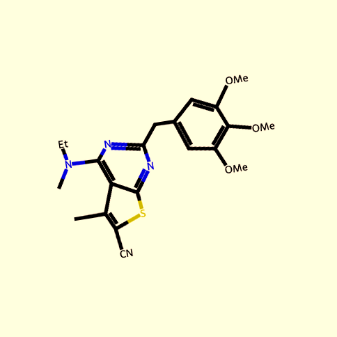 CCN(C)c1nc(Cc2cc(OC)c(OC)c(OC)c2)nc2sc(C#N)c(C)c12